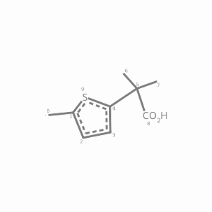 [CH2]c1ccc(C(C)(C)C(=O)O)s1